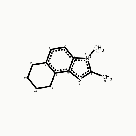 Cc1sc2c3c(ccc2[n+]1C)CCCC3